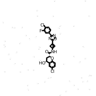 O=C(NC12CC(c3nc(-c4ccc(Cl)c(F)c4)no3)(C1)C2)[C@H]1C[C@@H](O)c2cc(Cl)ccc2O1